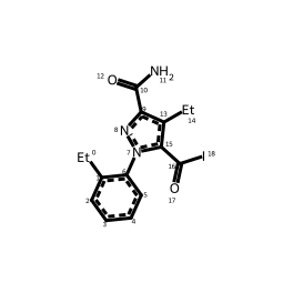 CCc1ccccc1-n1nc(C(N)=O)c(CC)c1C(=O)I